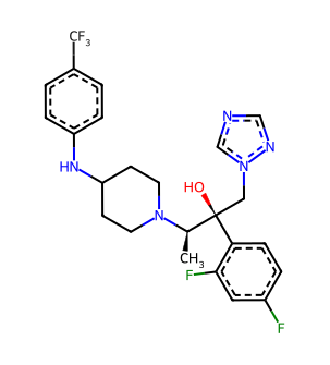 C[C@@H](N1CCC(Nc2ccc(C(F)(F)F)cc2)CC1)[C@](O)(Cn1cncn1)c1ccc(F)cc1F